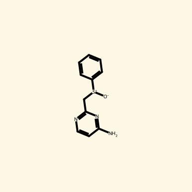 Nc1ccnc(C[S+]([O-])c2ccccc2)n1